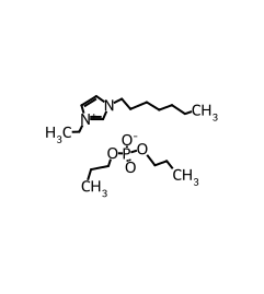 CCCCCCCn1cc[n+](CC)c1.CCCOP(=O)([O-])OCCC